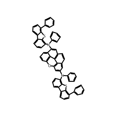 c1ccc(-c2cccc3c2sc2c(N(c4ccccc4)c4cc5c6c(ccc7cc(N(c8ccccc8)c8cccc9c8sc8c(-c%10ccccc%10)cccc89)c8cccc(c8c76)O5)c4)cccc23)cc1